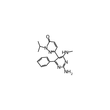 CNc1nc(N)nc(-c2ccccc2)c1-c1ccc(=O)n(C(C)C)n1